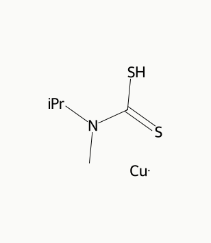 CC(C)N(C)C(=S)S.[Cu]